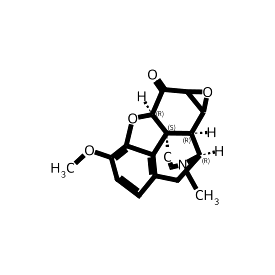 COc1ccc2c3c1O[C@H]1C(=O)C4OC4[C@H]4[C@@H](C2)N(C)CC[C@]314